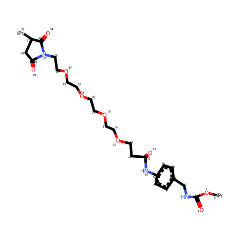 CC(C)OC(=O)NCc1ccc(NC(=O)CCOCCOCCOCCOCCN2C(=O)CC(C(C)C)C2=O)cc1